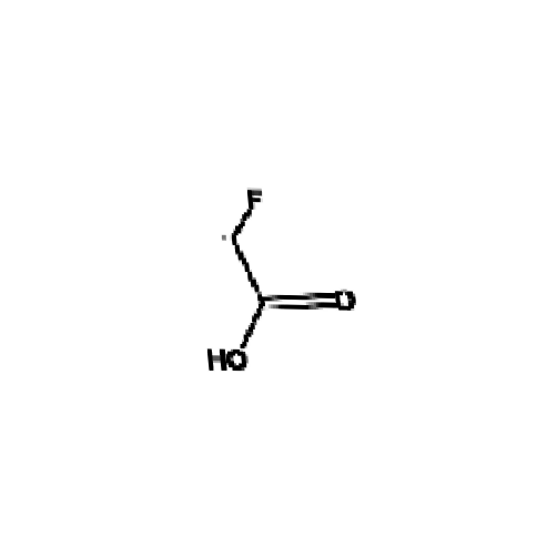 O=C(O)[CH]F